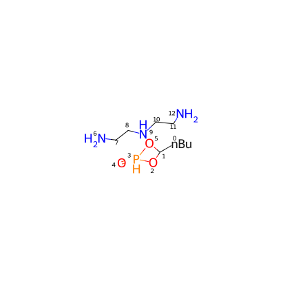 CCCCC1O[PH](=O)O1.NCCNCCN